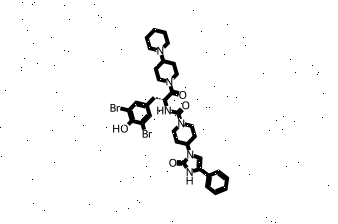 O=C(N[C@H](Cc1cc(Br)c(O)c(Br)c1)C(=O)N1CCC(N2CCCCC2)CC1)N1CCC(n2cc(-c3ccccc3)[nH]c2=O)CC1